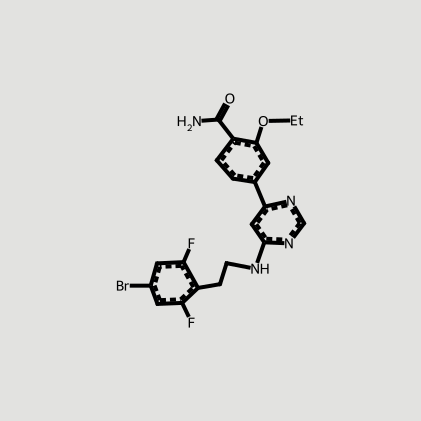 CCOc1cc(-c2cc(NCCc3c(F)cc(Br)cc3F)ncn2)ccc1C(N)=O